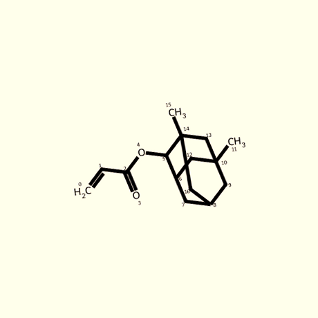 C=CC(=O)OC1C2CC3CC(C)(C2)CC1(C)C3